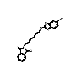 O=C1c2ccccc2C(=O)N1CCCCCCSc1nc2ccc(O)cc2s1